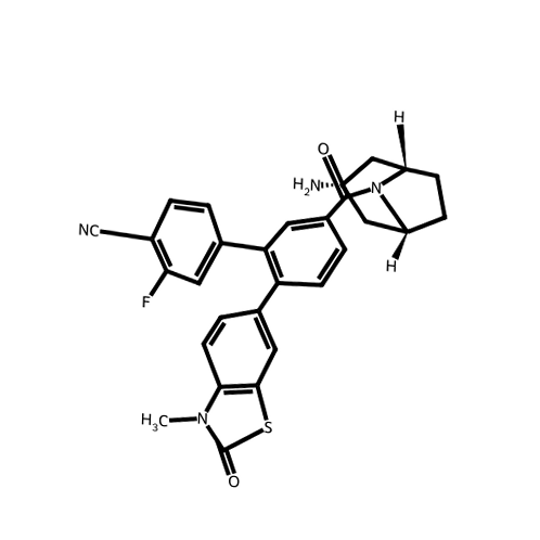 Cn1c(=O)sc2cc(-c3ccc(C(=O)N4[C@@H]5CC[C@H]4C[C@@H](N)C5)cc3-c3ccc(C#N)c(F)c3)ccc21